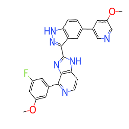 COc1cncc(-c2ccc3[nH]nc(-c4nc5c(-c6cc(F)cc(OC)c6)nccc5[nH]4)c3c2)c1